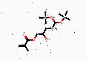 C=C(C)C(=O)OCC(O)C[SiH2]C(O[Si](C)(C)C)O[Si](C)(C)C